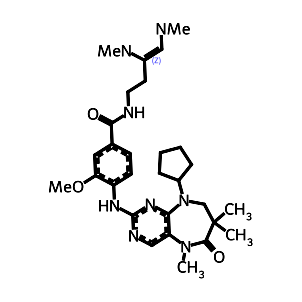 CN/C=C(/CCNC(=O)c1ccc(Nc2ncc3c(n2)N(C2CCCC2)CC(C)(C)C(=O)N3C)c(OC)c1)NC